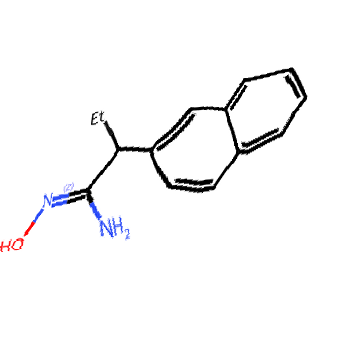 CCC(/C(N)=N/O)c1ccc2ccccc2c1